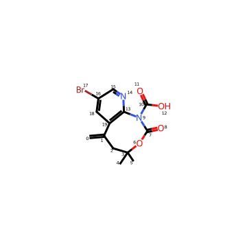 C=C1CC(C)(C)OC(=O)N(C(=O)O)c2ncc(Br)cc21